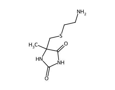 CC1(CSCCN)NC(=O)NC1=O